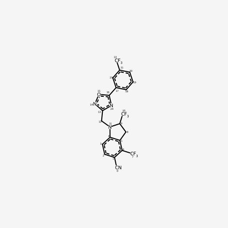 N#Cc1ccc2c(c1C(F)(F)F)CC(C(F)(F)F)N2Cc1noc(-c2cccc(C(F)(F)F)c2)n1